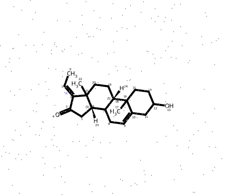 C/C=C1/C(=O)C[C@H]2C3CC=C4CC(O)CCC4(C)[C@H]3CCC12C